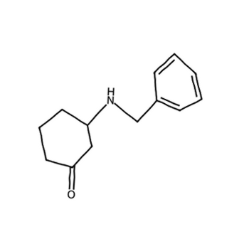 O=C1CCCC(NCc2ccccc2)C1